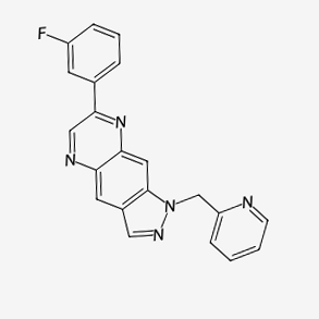 Fc1cccc(-c2cnc3cc4cnn(Cc5ccccn5)c4cc3n2)c1